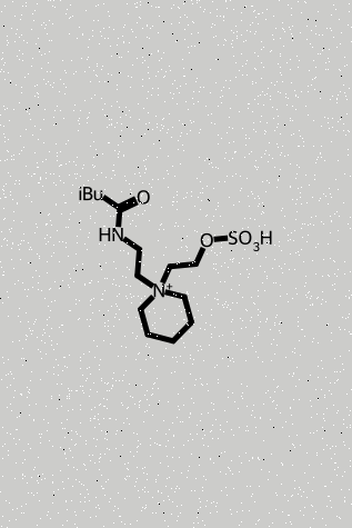 CCC(C)C(=O)NCC[N+]1(CCOS(=O)(=O)O)CCCCC1